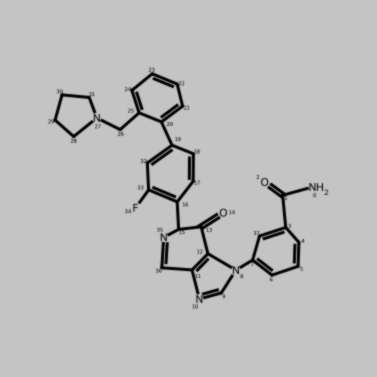 NC(=O)c1cccc(-n2cnc3c2C(=O)C(c2ccc(-c4ccccc4CN4CCCC4)cc2F)N=C3)c1